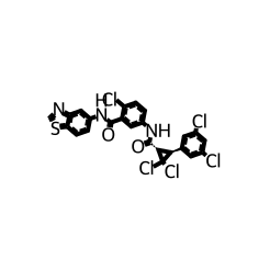 O=C(Nc1ccc2scnc2c1)c1cc(NC(=O)[C@@H]2[C@@H](c3cc(Cl)cc(Cl)c3)C2(Cl)Cl)ccc1Cl